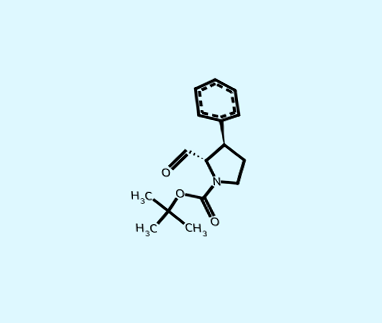 CC(C)(C)OC(=O)N1CC[C@H](c2ccccc2)[C@H]1C=O